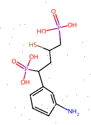 Nc1cccc(C(CC(S)CP(=O)(O)O)P(=O)(O)O)c1